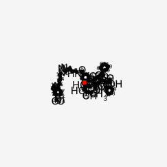 CC1CC(C(=O)NCCCc2cn(CCCCn3ccc4cc([N+](=O)[O-])ccc43)nn2)C[C@@H](O[C@@H]2OC(CO)[C@H](O)C(O[C@@H](CC3CCCCC3)C(=O)O)C2OC(=O)c2ccccc2)C1O[C@@H]1OC(C)[C@@H](O)C(O)C1O